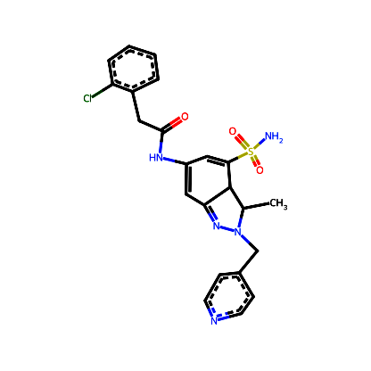 CC1C2C(S(N)(=O)=O)=CC(NC(=O)Cc3ccccc3Cl)=CC2=NN1Cc1ccncc1